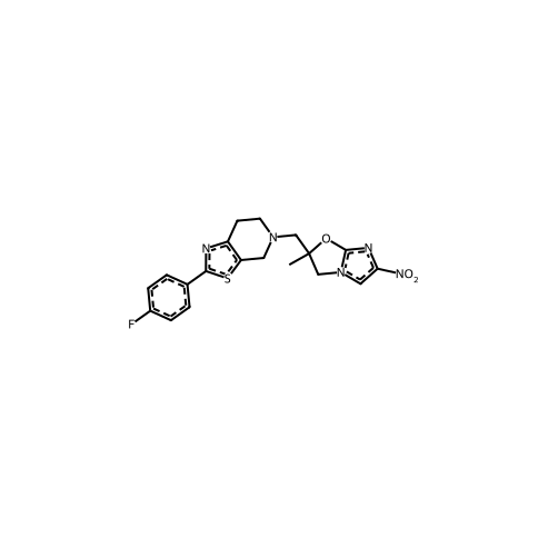 CC1(CN2CCc3nc(-c4ccc(F)cc4)sc3C2)Cn2cc([N+](=O)[O-])nc2O1